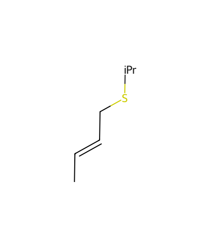 C/C=C/CSC(C)C